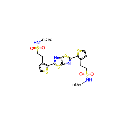 CCCCCCCCCCNS(=O)(=O)CCc1ccsc1-c1nc2sc(-c3sccc3CCS(=O)(=O)NCCCCCCCCCC)nc2s1